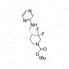 CC(C)(C)OC(=O)N1CC[C@H](CNc2cnccn2)C(F)(F)C1